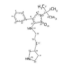 CC(C)(C)n1sc(-c2ccccc2)c(NCCSC2CCNC2)c1=O